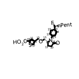 CCCCC[C@H](F)c1ccc(N2C(=O)CC[C@@H]2COCc2csc(C(=O)O)c2)cc1